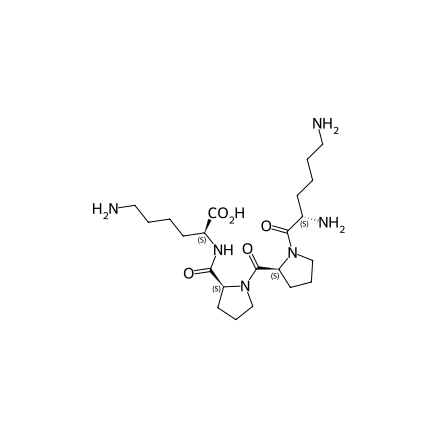 NCCCC[C@H](NC(=O)[C@@H]1CCCN1C(=O)[C@@H]1CCCN1C(=O)[C@@H](N)CCCCN)C(=O)O